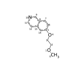 COCCOc1ccc2cnccc2c1